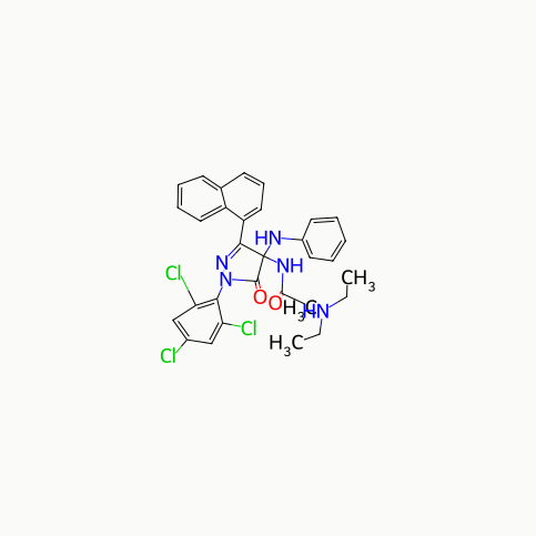 CC(=O)NC1(Nc2ccccc2)C(=O)N(c2c(Cl)cc(Cl)cc2Cl)N=C1c1cccc2ccccc12.CCNCC